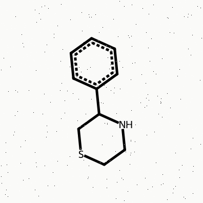 c1ccc(C2CSCCN2)cc1